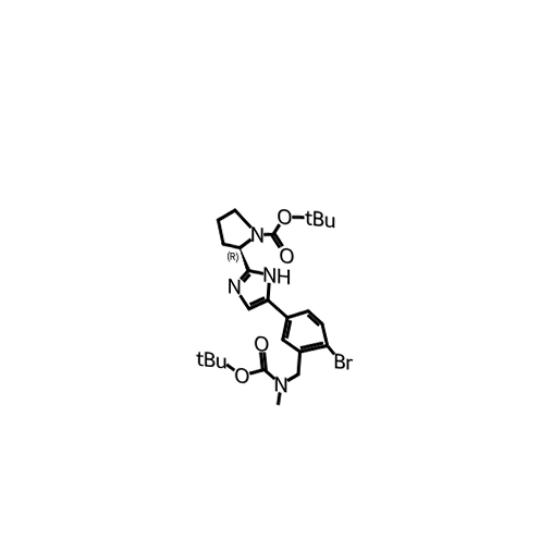 CN(Cc1cc(-c2cnc([C@H]3CCCN3C(=O)OC(C)(C)C)[nH]2)ccc1Br)C(=O)OC(C)(C)C